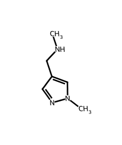 CNCc1cnn(C)c1